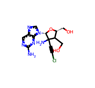 Nc1ncc2ncn([C@@H]3O[C@H](CO)C(CO)C3(N)C#CCl)c2n1